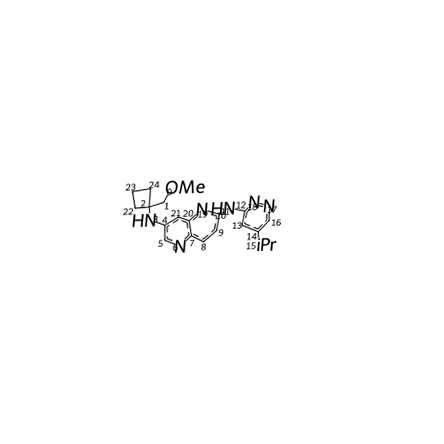 COCC1(Nc2cnc3ccc(Nc4cc(C(C)C)cnn4)nc3c2)CCC1